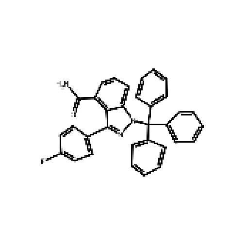 NC(=O)c1[c]ccc2c1c(-c1ccc(F)cc1)nn2C(c1ccccc1)(c1ccccc1)c1ccccc1